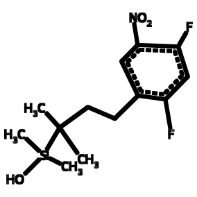 CC(C)(CCc1cc([N+](=O)[O-])c(F)cc1F)[Si](C)(C)O